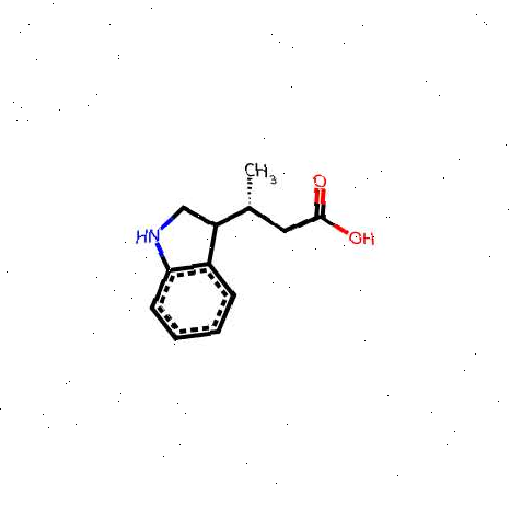 C[C@H](CC(=O)O)C1CNc2ccccc21